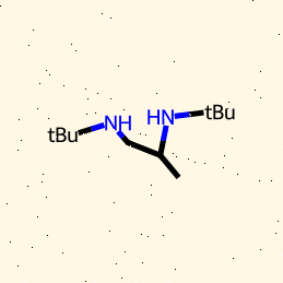 CC(CNC(C)(C)C)NC(C)(C)C